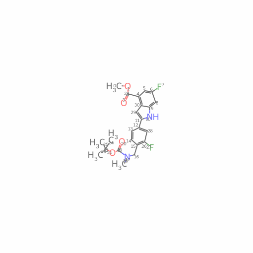 COC(=O)c1cc(F)cc2[nH]c(-c3ccc(CN(C)C(=O)OC(C)(C)C)c(F)c3)cc12